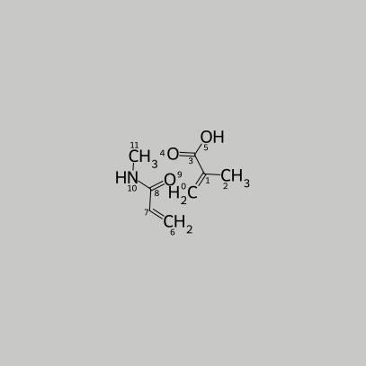 C=C(C)C(=O)O.C=CC(=O)NC